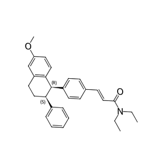 CCN(CC)C(=O)C=Cc1ccc([C@@H]2c3ccc(OC)cc3CC[C@@H]2c2ccccc2)cc1